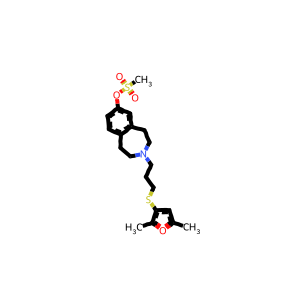 Cc1cc(SCCCN2CCc3ccc(OS(C)(=O)=O)cc3CC2)c(C)o1